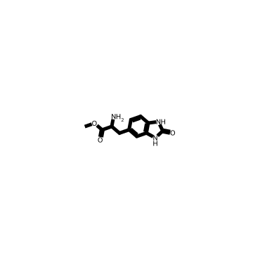 COC(=O)C(N)Cc1ccc2[nH]c(=O)[nH]c2c1